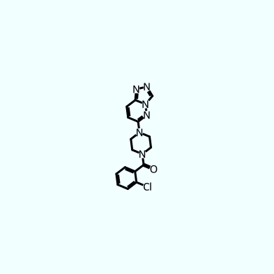 O=C(c1ccccc1Cl)N1CCN(c2ccc3nncn3n2)CC1